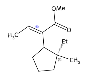 C/C=C(/C(=O)OC)C1CCC[C@@]1(C)CC